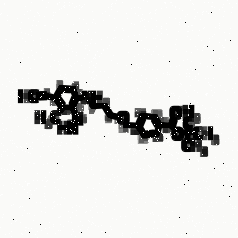 C#Cc1ccc(NCCCOCc2ccc(C(=O)OC(C)(C)C)cc2)c(N=N)c1C